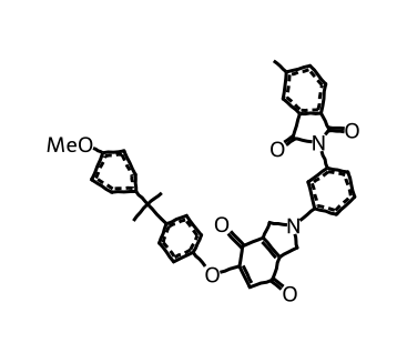 COc1ccc(C(C)(C)c2ccc(OC3=CC(=O)C4=C(CN(c5cccc(N6C(=O)c7ccc(C)cc7C6=O)c5)C4)C3=O)cc2)cc1